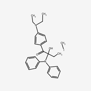 CCN(CC)c1ccc(C(=O)C(O)(CC)N(c2ccccc2)c2ccccc2)cc1.CI